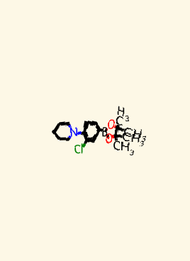 CC1(C)OB(c2ccc(N3CCCCC3)c(Cl)c2)OC1(C)C